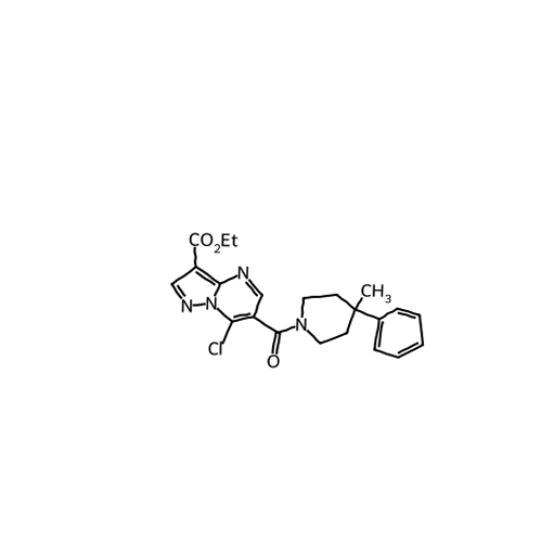 CCOC(=O)c1cnn2c(Cl)c(C(=O)N3CCC(C)(c4ccccc4)CC3)cnc12